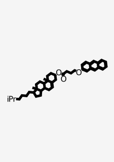 CC(C)CCCCC1CCC2C3CC=C4CC(OC(=O)CCCOc5ccc6cc7ccccc7cc6c5)CCC4(C)C3CCC12C